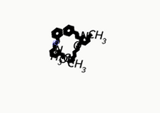 Cc1ccc(OCCCN(C)C)c(C=Cc2ccccc2)n1.OCc1cccc(/C=C/c2ccccc2)n1